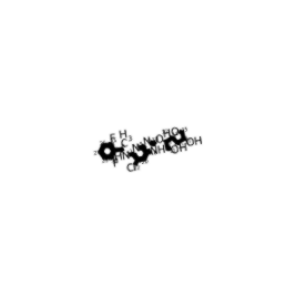 C[C@@H](Nc1nc2nc(O[C@@H]3CO[C@H]4[C@@H]3OC[C@H]4O)[nH]c2cc1Cl)c1c(F)cccc1F